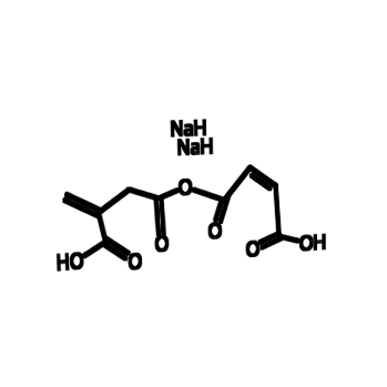 C=C(CC(=O)OC(=O)/C=C\C(=O)O)C(=O)O.[NaH].[NaH]